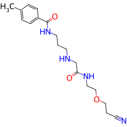 Cc1ccc(C(=O)NCCCNCC(=O)NCCOCCC#N)cc1